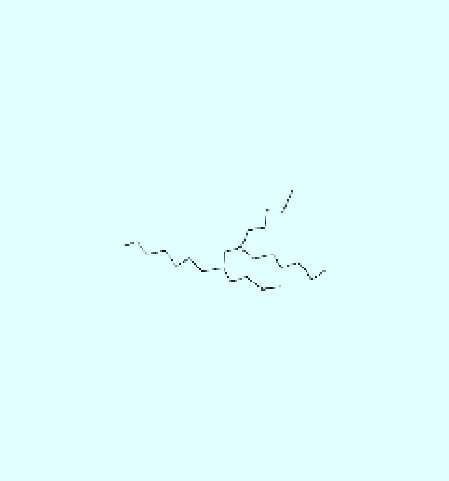 CCCCCCCC(CCCC)CC(CCCCC)CCCCCC